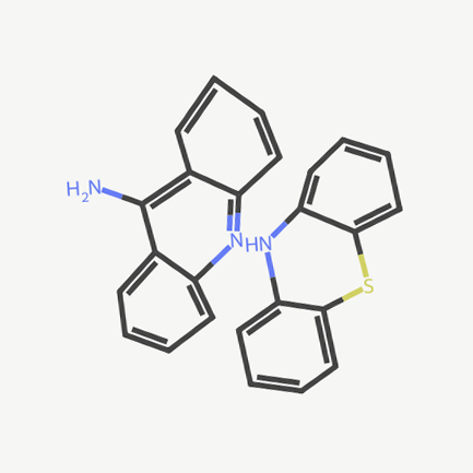 Nc1c2ccccc2nc2ccccc12.c1ccc2c(c1)Nc1ccccc1S2